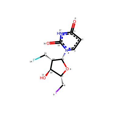 O=c1ccn([C@@H]2O[C@H](CI)[C@@H](O)[C@@H]2CF)c(=O)[nH]1